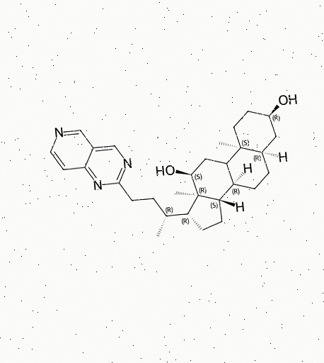 C[C@H](CCc1ncc2cnccc2n1)[C@H]1CC[C@H]2[C@@H]3CC[C@@H]4C[C@H](O)CC[C@]4(C)C3C[C@H](O)[C@]12C